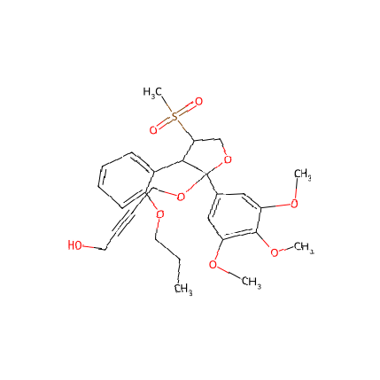 CCCOc1ccccc1C1C(S(C)(=O)=O)COC1(OCC#CCO)c1cc(OC)c(OC)c(OC)c1